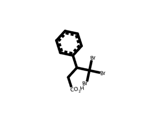 O=C(O)CC(c1ccccc1)C(Br)(Br)Br